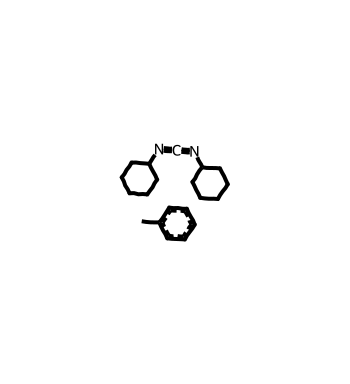 C(=NC1CCCCC1)=NC1CCCCC1.Cc1ccccc1